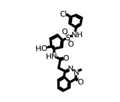 Cn1nc(CC(=O)Nc2cc(S(=O)(=O)Nc3cccc(Cl)c3)ccc2O)c2ccccc2c1=O